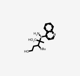 CCCCC(CCO)C(C)(C(=O)O)N(N)c1ccnc2ccccc12